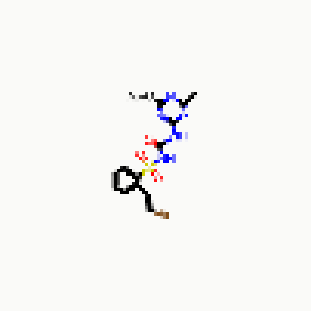 COc1nc(C)nc(NC(=O)NS(=O)(=O)c2ccccc2/C=C/Br)n1